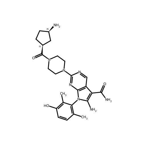 Cc1ccc(O)c(C)c1-n1c(N)c(C(N)=O)c2cnc(N3CCN(C(=O)[C@H]4CC[C@@H](N)C4)CC3)nc21